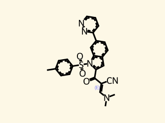 Cc1ccc(S(=O)(=O)n2c(C(=O)/C(C#N)=C/N(C)C)cc3ccc(-c4cccnn4)cc32)cc1